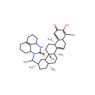 CC1=C(O)C(=O)C=C2C1CC=C1[C@@]2(C)CC[C@@]2(C)[C@@H]3C[C@](C)(C(C)N(C(=O)NC4CCCCC4)C4CCCCC4)CC[C@]3(C)CC[C@]12C